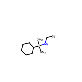 CO[Si](NC[SiH3])(OC)C1CCCCC1